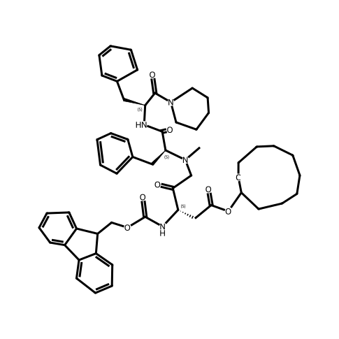 CN(CC(=O)[C@H](CC(=O)OC1CCCCCCCCC1)NC(=O)OCC1c2ccccc2-c2ccccc21)[C@@H](Cc1ccccc1)C(=O)N[C@@H](Cc1ccccc1)C(=O)N1CCCCC1